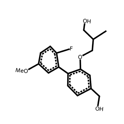 COc1ccc(F)c(-c2ccc(CO)cc2OCC(C)CO)c1